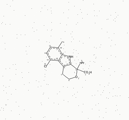 CCCC1(C(=O)O)OCCc2c1[nH]c1c(C)ccc(Cl)c21